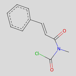 CN(C(=O)Cl)C(=O)C=Cc1ccccc1